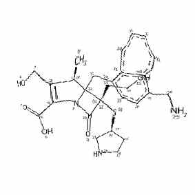 C[C@@H]1C(CO)=C(C(=O)O)N2C(=O)[C@@](CCO)(S[C@H]3CCNC3)C12Cc1ccc(CN)c2ccccc12